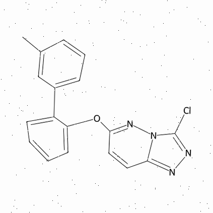 Cc1cccc(-c2ccccc2Oc2ccc3nnc(Cl)n3n2)c1